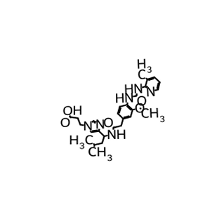 COc1cc(CC(=O)NC(CC(C)C)c2cn(CCC(=O)O)cn2)ccc1NC(=O)Nc1ncccc1C